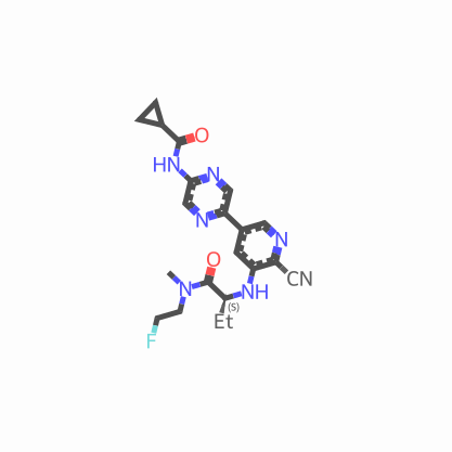 CC[C@H](Nc1cc(-c2cnc(NC(=O)C3CC3)cn2)cnc1C#N)C(=O)N(C)CCF